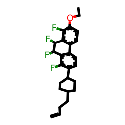 C=CCCC1CCC(c2ccc3c(c2F)C(F)C(F)c2c-3ccc(OCC)c2F)CC1